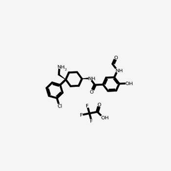 NC[C@]1(c2cccc(Cl)c2)CC[C@H](NC(=O)c2ccc(O)c(NC=O)c2)CC1.O=C(O)C(F)(F)F